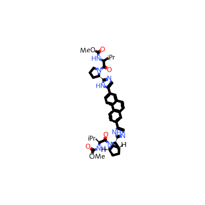 COC(=O)NC(C(=O)N1CCC[C@H]1c1ncc(-c2ccc3c(ccc4cc(-c5cnc([C@@H]6[C@H]7CC[C@H](C7)N6C(=O)[C@@H](NC(=O)OC)C(C)C)[nH]5)ccc43)c2)[nH]1)C(C)C